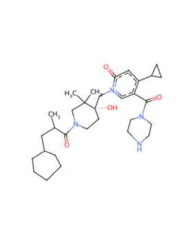 CC(CC1CCCCC1)C(=O)N1CC[C@](O)(Cn2cc(C(=O)N3CCNCC3)c(C3CC3)cc2=O)C(C)(C)C1